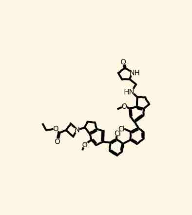 CCOC(=O)C1CN(C2CCc3cc(-c4cccc(-c5cccc(-c6cc7c(c(OC)c6)C(NCC6CCC(=O)N6)CC7)c5Cl)c4Cl)cc(OC)c32)C1